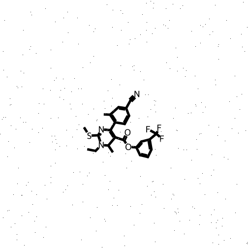 CCN1C(SC)=NC(c2ccc(C#N)cc2C)=C(C(=O)Oc2cccc(C(F)(F)F)c2)C1C